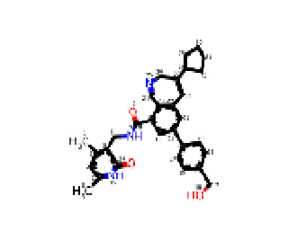 Cc1cc(C)c(CNC(=O)c2cc(-c3ccc(CO)cc3)cc3c2C=NCC(C2CCCC2)=C3)c(=O)[nH]1